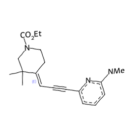 CCOC(=O)N1CC/C(=C\C#Cc2cccc(NC)n2)C(C)(C)C1